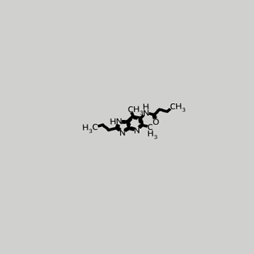 CCCC(=O)Nc1c(C)nc2nc(CCC)[nH]c2c1C